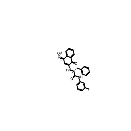 O=C1C(N[C@H](Cc2ccccc2)C(=O)Nc2cccc(F)c2)=C/C(=N/O)c2ccccc21